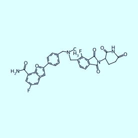 CN(Cc1ccc(-c2cc3cc(F)cc(C(N)=O)c3o2)cc1)Cc1ccc2c(c1F)C(=O)N(C1CCC(=O)NC1=O)C2=O